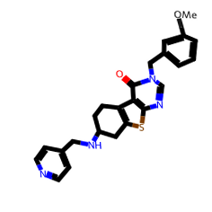 COc1cccc(Cn2cnc3sc4c(c3c2=O)CCC(NCc2ccncc2)C4)c1